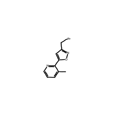 Cc1cccnc1-c1cc(CC(C)C)no1